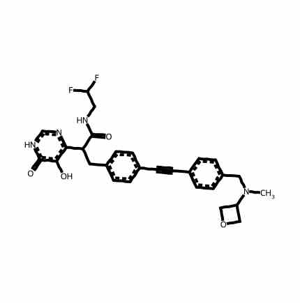 CN(Cc1ccc(C#Cc2ccc(CC(C(=O)NCC(F)F)c3nc[nH]c(=O)c3O)cc2)cc1)C1COC1